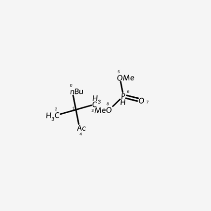 CCCCC(C)(C)C(C)=O.CO[PH](=O)OC